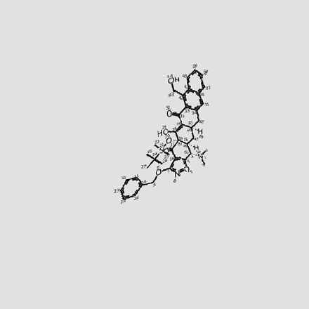 CN(C)[C@@H]1c2onc(OCc3ccccc3)c2C(=O)[C@@]2(O[Si](C)(C)C(C)(C)C)C(O)=C3C(=O)c4c(cc5ccccc5c4CO)C[C@H]3C[C@@H]12